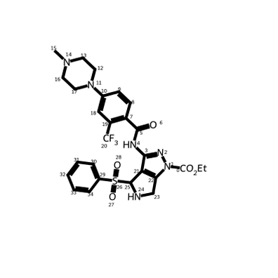 CCOC(=O)n1nc(NC(=O)c2ccc(N3CCN(C)CC3)cc2C(F)(F)F)c2c1CNC2S(=O)(=O)c1ccccc1